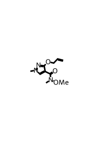 C=CCOc1nn(C)cc1C(=O)N(C)OC